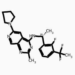 Cc1nc(N[C@H](C)c2cccc(C(C)(F)F)c2F)c2cc(N3CCCC3)ncc2n1